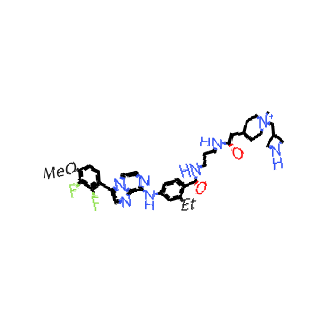 CCc1cc(Nc2nccn3c(-c4ccc(OC)c(F)c4F)cnc23)ccc1C(=O)NCCCNC(=O)CC1CC[N+](C)(CC2CNC2)CC1